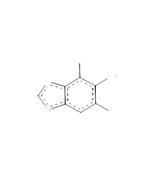 Cc1c(F)cc2ncoc2c1F